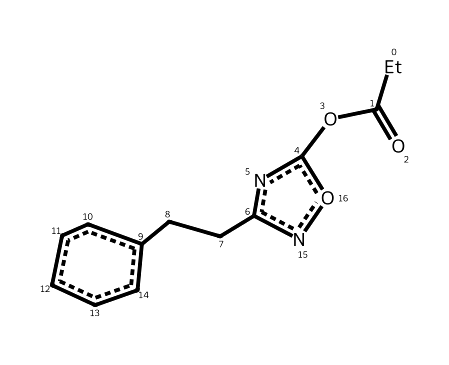 CCC(=O)Oc1nc(CCc2ccccc2)no1